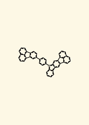 c1cc2c3c(cccc3c1)-c1cc(-c3ccc(-n4c5ccccc5c5cc6c(cc54)-c4cccc5cccc-6c45)cc3)ccc1-2